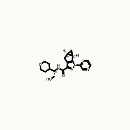 O=C(N[C@H](CO)C1CCOCC1)c1nn(-c2cnccn2)c2c1C[C@H]1C[C@@H]21